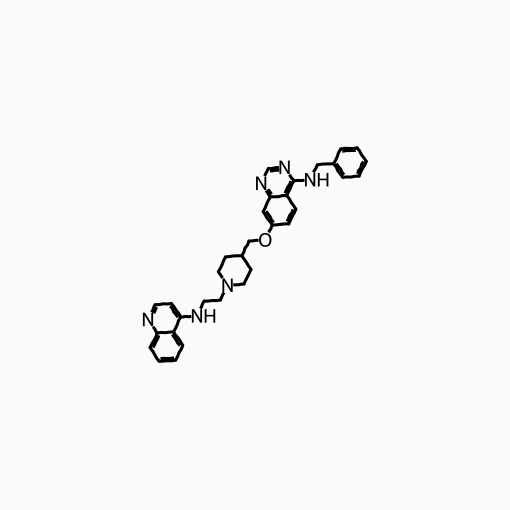 c1ccc(CNc2ncnc3cc(OCC4CCN(CCNc5ccnc6ccccc56)CC4)ccc23)cc1